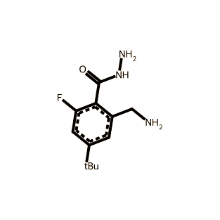 CC(C)(C)c1cc(F)c(C(=O)NN)c(CN)c1